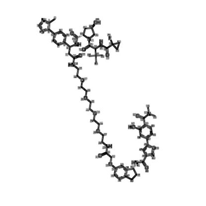 Cc1ncsc1-c1ccc(C(CC(=O)NCCOCCOCCOCCOCCNC(=O)COc2ccc3c(c2)[C@H](NC(=O)c2cc(-c4ccc(C(=O)N(C)C)c(O)c4)on2)CC3)NC(=O)[C@@H]2C[C@@H](O)CN2C(=O)C(NC(=O)C2(F)CC2)C(C)(C)C)cc1